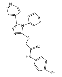 CC(C)c1ccc(NC(=O)CSc2nnc(-c3ccncc3)n2-c2ccccc2)cc1